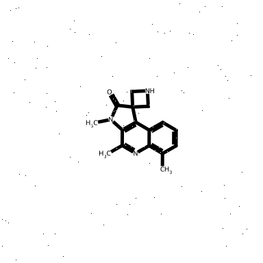 Cc1nc2c(C)cccc2c2c1N(C)C(=O)C21CNC1